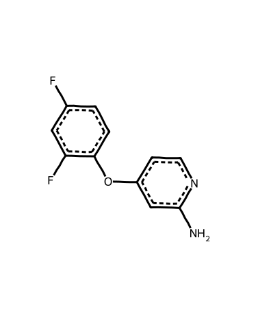 Nc1cc(Oc2ccc(F)cc2F)ccn1